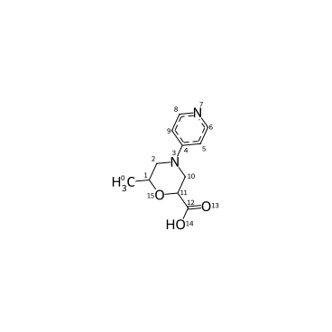 CC1CN(c2ccncc2)CC(C(=O)O)O1